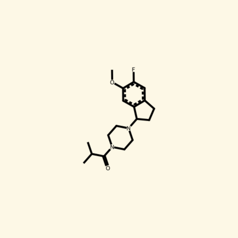 COc1cc2c(cc1F)CCC2N1CCN(C(=O)C(C)C)CC1